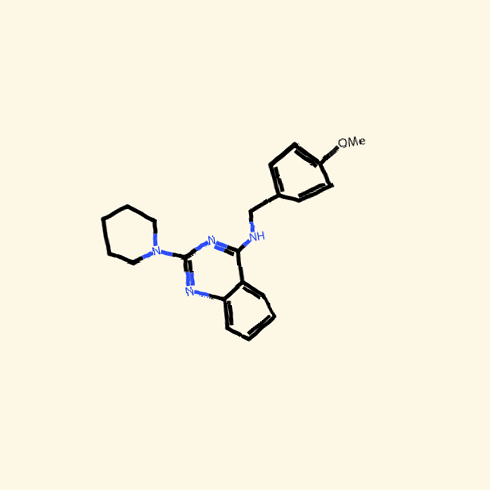 COc1ccc(CNc2nc(N3CCCCC3)nc3ccccc23)cc1